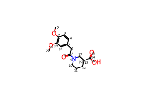 COc1ccc(CC(=O)N2CCC[C@H](C(=O)O)C2)cc1OC